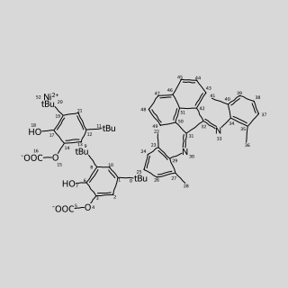 CC(C)(C)c1cc(OC(=O)[O-])c(O)c(C(C)(C)C)c1.CC(C)(C)c1cc(OC(=O)[O-])c(O)c(C(C)(C)C)c1.Cc1cccc(C)c1N=C1C(=Nc2c(C)cccc2C)c2cccc3cccc1c23.[Ni+2]